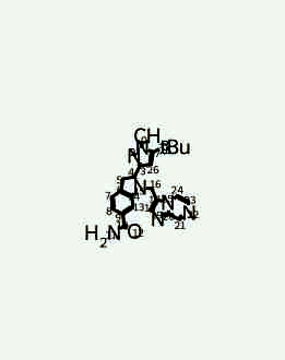 Cn1nc(C2Cc3ccc(C(N)=O)cc3N2Cc2cnc3cnccn23)cc1C(C)(C)C